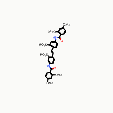 COc1ccc(C(=O)Nc2ccc(/C=C/c3ccc(NC(=O)c4ccc(OC)cc4OC)cc3S(=O)(=O)O)c(S(=O)(=O)O)c2)c(OC)c1